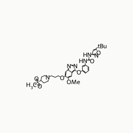 COc1cc2c(Oc3cccc(NC(=O)Nc4cc(C(C)(C)C)on4)c3)ncnc2cc1OCCCN1CCC(S(C)(=O)=O)CC1